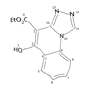 CCOC(=O)c1c(O)c2ccccc2n2cnnc12